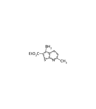 Bc1c(C(=O)OCC)sc2nc(C)ccc12